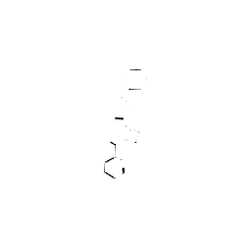 O=C(c1ccccn1)C1CCN1C(=O)CNC1CCCCC1